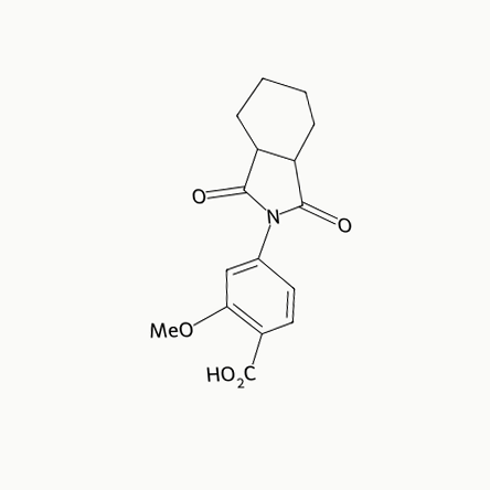 COc1cc(N2C(=O)C3CCCCC3C2=O)ccc1C(=O)O